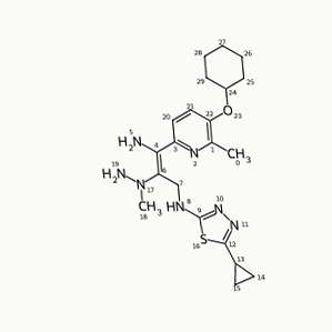 Cc1nc(/C(N)=C(\CNc2nnc(C3CC3)s2)N(C)N)ccc1OC1CCCCC1